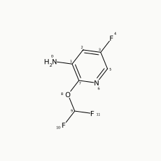 Nc1cc(F)cnc1OC(F)F